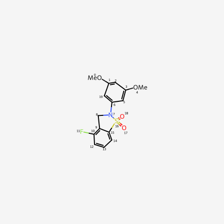 COc1cc(OC)cc(N2Cc3c(F)cccc3S2(=O)=O)c1